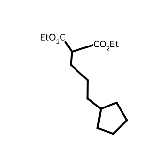 CCOC(=O)C(CCCC1CCCC1)C(=O)OCC